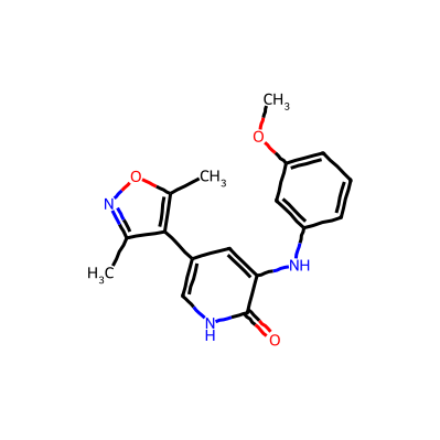 COc1cccc(Nc2cc(-c3c(C)noc3C)c[nH]c2=O)c1